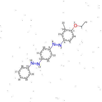 CCOc1ccc(N=Nc2ccc(N=Nc3ccccc3)cc2)cc1C